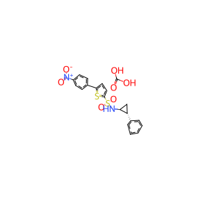 O=C(O)O.O=[N+]([O-])c1ccc(-c2ccc(S(=O)(=O)N[C@H]3C[C@@H]3c3ccccc3)s2)cc1